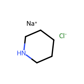 C1CCNCC1.[Cl-].[Na+]